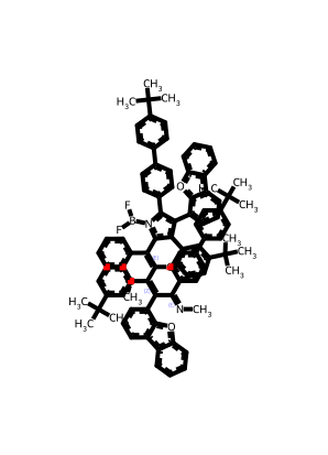 C/N=C(/C(=C(\C(C)=C(/c1ccccc1OC)c1c(-c2cccc(C(C)(C)C)c2)c(-c2cccc3c2oc2ccccc23)c(-c2ccc(-c3ccc(C(C)(C)C)cc3)cc2)n1B(F)F)c1cccc(C(C)(C)C)c1)c1cccc2c1oc1ccccc12)c1ccc(-c2ccc(C(C)(C)C)cc2)cc1